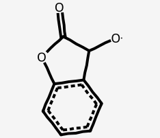 [O]C1C(=O)Oc2ccccc21